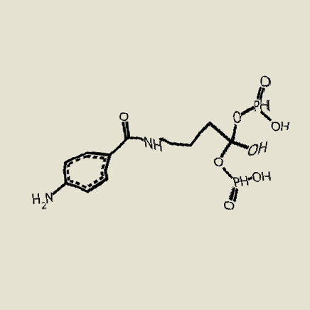 Nc1ccc(C(=O)NCCCC(O)(O[PH](=O)O)O[PH](=O)O)cc1